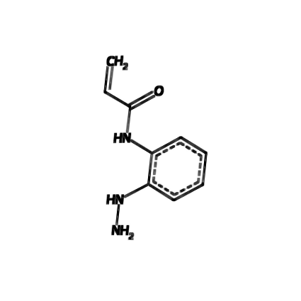 C=CC(=O)Nc1ccccc1NN